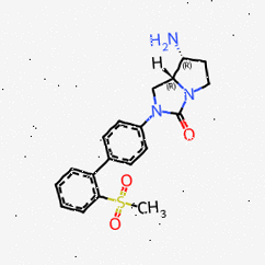 CS(=O)(=O)c1ccccc1-c1ccc(N2C[C@@H]3[C@H](N)CCN3C2=O)cc1